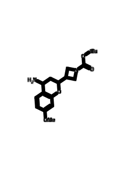 COc1ccc2c(c1)OC(C1CN(C(=O)OC(C)(C)C)C1)CC2N